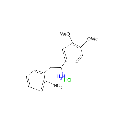 COc1ccc(C(N)Cc2ccccc2[N+](=O)[O-])cc1OC.Cl